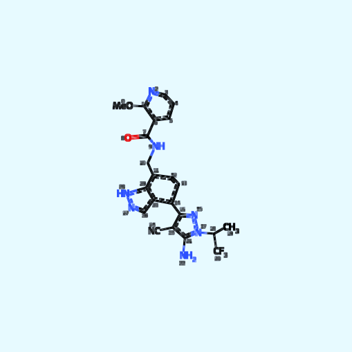 COc1ncccc1C(=O)NCc1ccc(-c2nn(C(C)C(F)(F)F)c(N)c2C#N)c2cn[nH]c12